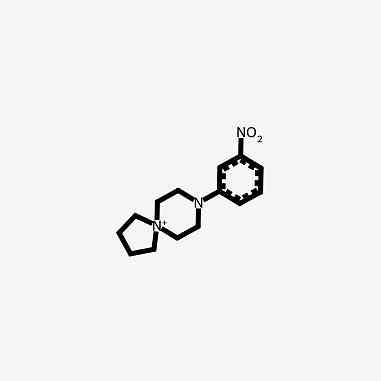 O=[N+]([O-])c1cccc(N2CC[N+]3(CCCC3)CC2)c1